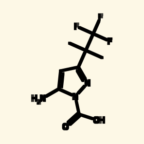 CC(C)(c1cc(N)n(C(=O)O)n1)C(F)(F)F